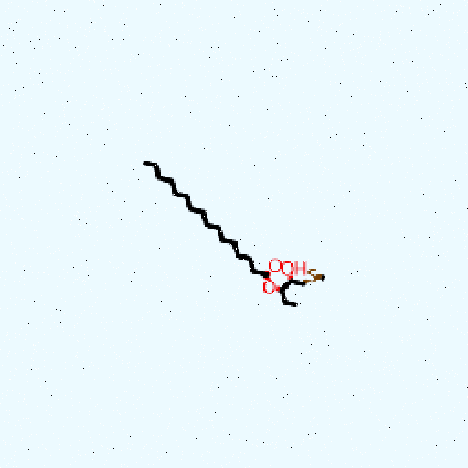 CCCCCCCCCCCCCCCC(=O)OC(CC)C(O)CSC